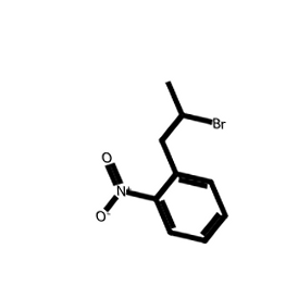 CC(Br)Cc1ccccc1[N+](=O)[O-]